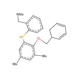 CNCc1ccccc1Pc1cc(C(C)(C)C)cc(C(C)(C)C)c1OCC1C=CC=CC1